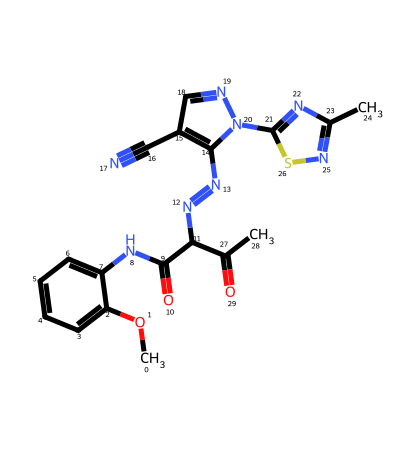 COc1ccccc1NC(=O)C(N=Nc1c(C#N)cnn1-c1nc(C)ns1)C(C)=O